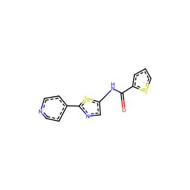 O=C(Nc1cnc(-c2ccncc2)s1)c1cccs1